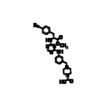 COC(=O)[C@H](Cc1ccc(C#N)cc1)Nc1ncnc(Nc2cccc(CN3CCN(C(=O)O)CC3)c2)n1